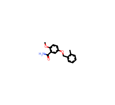 COc1ccc(OCc2ccccc2C)cc1C(N)=O